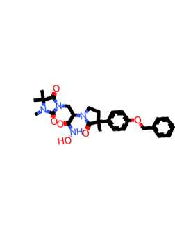 CN1C(=O)N(CC(C(=O)NO)N2CCC(C)(c3ccc(OCc4ccccc4)cc3)C2=O)C(=O)C1(C)C